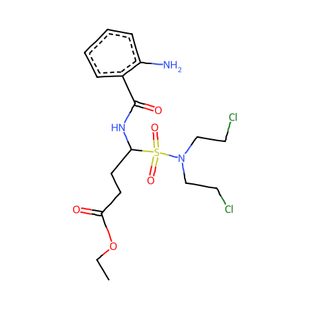 CCOC(=O)CCC(NC(=O)c1ccccc1N)S(=O)(=O)N(CCCl)CCCl